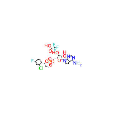 C[C@@]1(O)[C@H](O)[C@@H](CO[P@@]2(=O)OCC[C@@H](c3ccc(F)cc3Cl)O2)O[C@H]1n1ccc2c(N)ncnc21.O=C(O)C(F)(F)F